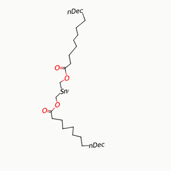 CCCCCCCCCCCCCCCCCC(=O)O[CH2][Sn][CH2]OC(=O)CCCCCCCCCCCCCCCCC